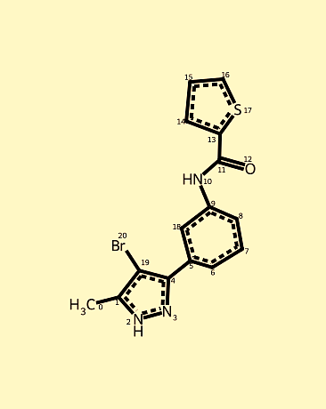 Cc1[nH]nc(-c2cccc(NC(=O)c3cccs3)c2)c1Br